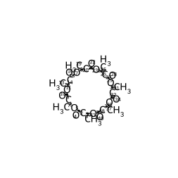 C[C@H]1CC(=O)O[C@@H](C)CC(=O)O[C@@H](C)CC(=O)O[C@@H](C)CC(=O)O[C@@H](C)CC(=O)O[C@@H](C)CC(=O)O[C@@H](C)CC(=O)O1